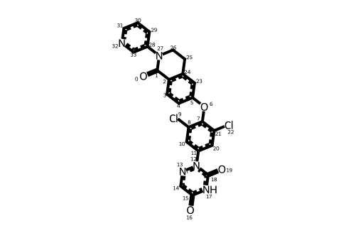 O=C1c2ccc(Oc3c(Cl)cc(-n4ncc(=O)[nH]c4=O)cc3Cl)cc2CCN1c1cccnc1